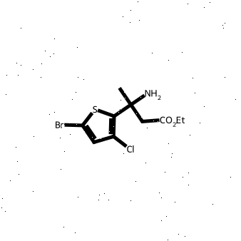 CCOC(=O)CC(C)(N)c1sc(Br)cc1Cl